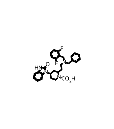 O=C(O)N1CCC(n2c(=O)[nH]c3ccccc32)CC1CCN(Cc1ccccc1)Cc1c(F)cccc1F